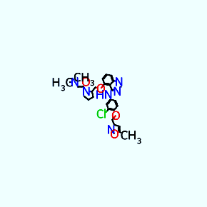 Cc1cc(COc2ccc(Nc3ncnc4cccc(OCC5CCCN5C(=O)CN(C)C)c34)cc2Cl)no1